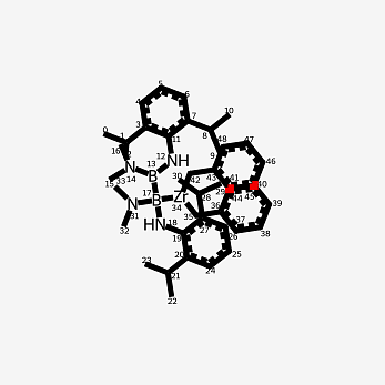 CC(C)c1cccc(C(C)C)c1NB(N(C)C)[B-](Nc1c(C(C)C)cccc1C(C)C)(N(C)C)[Zr]([CH2]c1ccccc1)[CH2]c1ccccc1